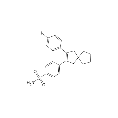 NS(=O)(=O)c1ccc(C2=C(c3ccc(I)cc3)CC3(CCCC3)C2)cc1